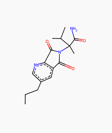 CCCc1cnc2c(c1)C(=O)N(C(C)(C(N)=O)C(C)C)C2=O